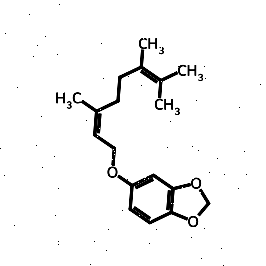 CC(=CCOc1ccc2c(c1)OCO2)CCC(C)=C(C)C